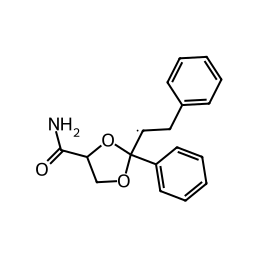 NC(=O)C1COC([CH]Cc2ccccc2)(c2ccccc2)O1